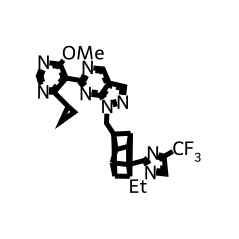 CCn1cc(C(F)(F)F)nc1C12C3C4C1C1C2C3C41Cn1ncc2cnc(-c3c(OC)ncnc3C3CC3)nc21